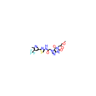 COCC(=O)Cn1c(=O)c2c(ncn2CC(=O)Nc2csc(-c3cnc(C)c(C(F)(F)F)c3)n2)n(C)c1=O